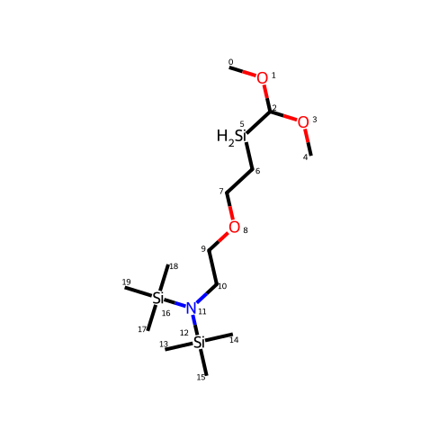 COC(OC)[SiH2]CCOCCN([Si](C)(C)C)[Si](C)(C)C